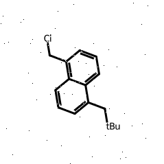 CC(C)(C)Cc1cccc2c(CCl)cccc12